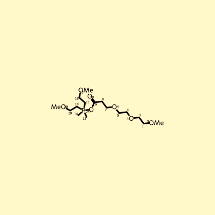 COCCOCCOCCC(=O)OP(C)(C)(CCOC)CCOC